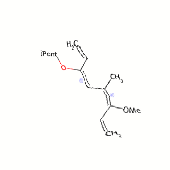 C=C/C(=C\C(C)=C(/C=C)OC)OC(C)CCC